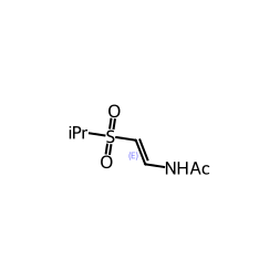 CC(=O)N/C=C/S(=O)(=O)C(C)C